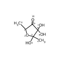 CC1OC(C)(O)C(O)(O)C1=O